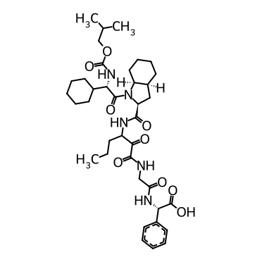 CCCC(NC(=O)[C@@H]1C[C@@H]2CCCC[C@@H]2N1C(=O)[C@@H](NC(=O)OCC(C)C)C1CCCCC1)C(=O)C(=O)NCC(=O)N[C@H](C(=O)O)c1ccccc1